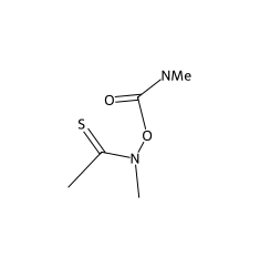 CNC(=O)ON(C)C(C)=S